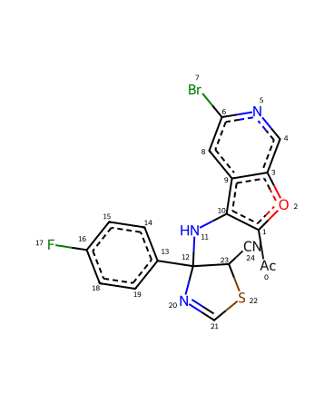 CC(=O)c1oc2cnc(Br)cc2c1NC1(c2ccc(F)cc2)N=CSC1C#N